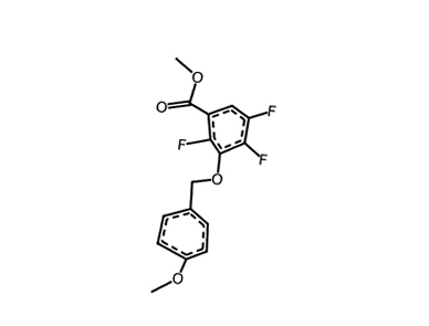 COC(=O)c1cc(F)c(F)c(OCc2ccc(OC)cc2)c1F